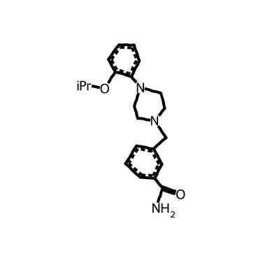 CC(C)Oc1ccccc1N1CCN(Cc2cccc(C(N)=O)c2)CC1